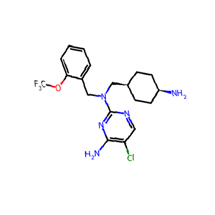 Nc1nc(N(Cc2ccccc2OC(F)(F)F)C[C@H]2CC[C@@H](N)CC2)ncc1Cl